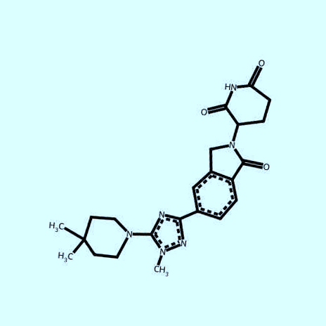 Cn1nc(-c2ccc3c(c2)CN(C2CCC(=O)NC2=O)C3=O)nc1N1CCC(C)(C)CC1